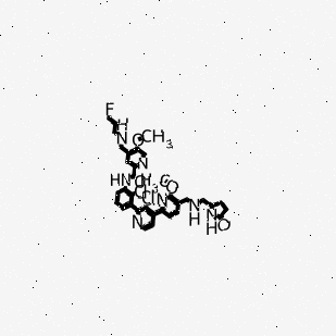 COc1cnc(C(=O)Nc2cccc(-c3nccc(-c4ccc(CNCC5CCC(=O)N5)c(OC)n4)c3Cl)c2Cl)cc1CNCCCF